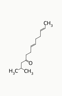 CC=CCCC=CCCC(=O)CC(C)C